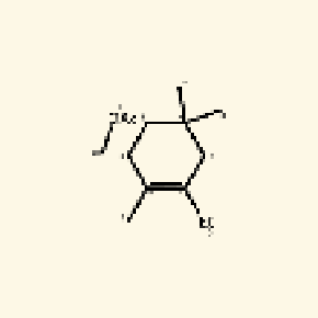 CCC1=C(C)CCC(C)(C)C1.COC(C)=O